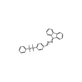 C[Si](C)(c1ccccc1)[Si](C)(C)c1ccc(/C=N/N=C2c3ccccc3-c3ccccc32)cc1